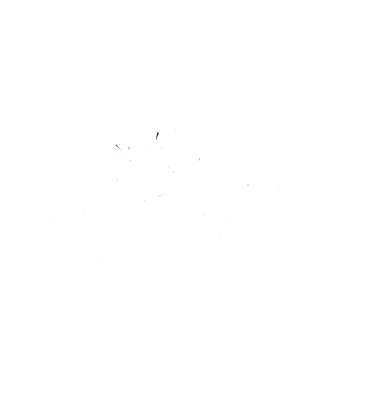 CS(=O)(=O)O.C[C@H]([C@H](O)c1cc(F)c(O)c(F)c1)N1CCC(O)(c2ccc(Cl)cc2)CC1